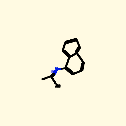 CC(=O)/C(C)=N\c1cccc2ccccc12